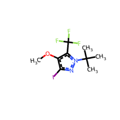 COc1c(I)nn(C(C)(C)C)c1C(F)(F)F